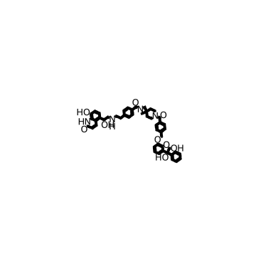 O=C(c1ccc(COc2cccc(C(O)(C(=O)O)c3ccccc3)c2)cc1)N1CCC2(CC1)CN(C(=O)c1ccc(CCNCC(O)c3ccc(O)c4[nH]c(=O)ccc34)cc1)C2